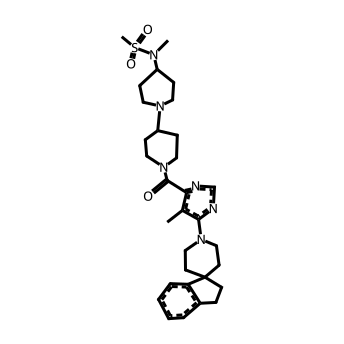 Cc1c(C(=O)N2CCC(N3CCC(N(C)S(C)(=O)=O)CC3)CC2)ncnc1N1CCC2(CCc3ccccc32)CC1